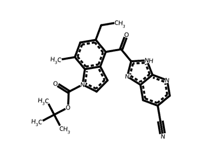 CCc1cc(C)c2c(ccn2C(=O)OC(C)(C)C)c1C(=O)c1nc2cc(C#N)cnc2[nH]1